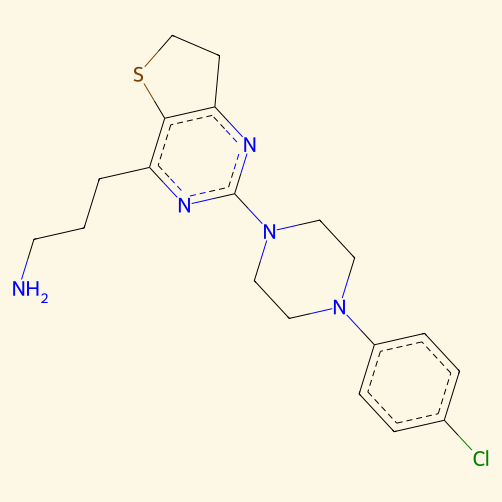 NCCCc1nc(N2CCN(c3ccc(Cl)cc3)CC2)nc2c1SCC2